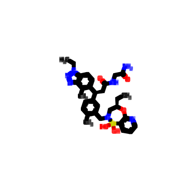 CC[C@@H]1CN(Cc2cc([C@H](CC(=O)NCC(N)=O)c3ccc4c(nnn4CC)c3C)ccc2C)S(O)(O)c2cccnc2O1